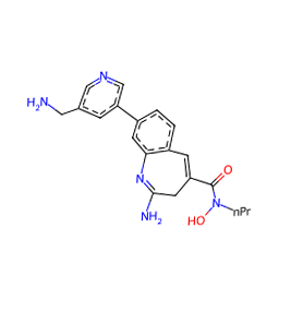 CCCN(O)C(=O)C1=Cc2ccc(-c3cncc(CN)c3)cc2N=C(N)C1